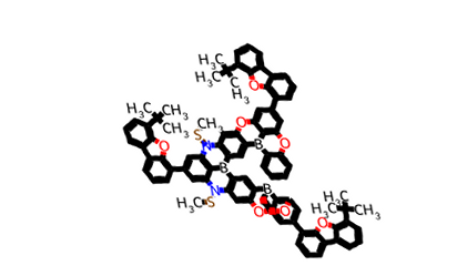 CSN1c2cc3c(cc2B2c4cc5c(cc4N(SC)c4cc(-c6cccc7c6oc6c(C(C)(C)C)cccc67)cc1c42)Oc1cc(-c2cccc4c2oc2c(C(C)(C)C)cccc24)cc2c1B5c1ccccc1O2)B1c2ccccc2Oc2cc(-c4cccc5c4oc4c(C(C)(C)C)cccc45)cc(c21)O3